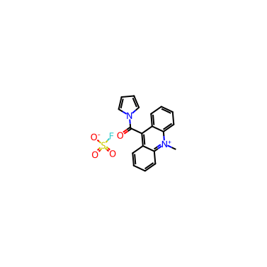 C[n+]1c2ccccc2c(C(=O)n2cccc2)c2ccccc21.O=S(=O)([O-])F